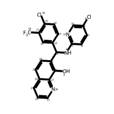 Oc1c(C(Nc2ccc(Cl)cn2)c2ccc(Cl)c(C(F)(F)F)c2)ccc2cccnc12